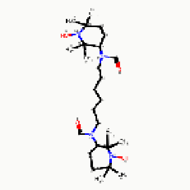 CC1(C)CCC(N(C=O)CCCCCCN(C=O)C2CCC(C)(C)N(O)C2(C)C)C(C)(C)N1O